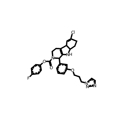 O=C(Oc1ccc(F)cc1)N1CCC2=C(NC3CCC(Cl)=CC23)C1c1cccc(OCCCn2ccnn2)c1